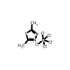 Cc1nnc(C)s1.[Cl][Ir]([Cl])([Cl])([Cl])[Cl]